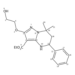 CCOC(=O)c1c(OCCO)nn2c1NC(c1ccccc1)CC2(C)C